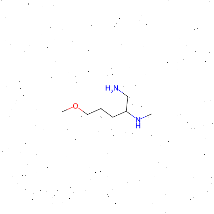 CNC(CN)CCCOC